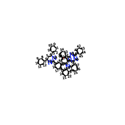 c1ccc(-c2cc(-c3ccccc3)nc(-c3ccc(-c4cccc5c6cccc(-c7nc(-c8ccccc8)nc(-c8ccccc8)n7)c6n(-c6ccccc6)c45)cc3)n2)cc1